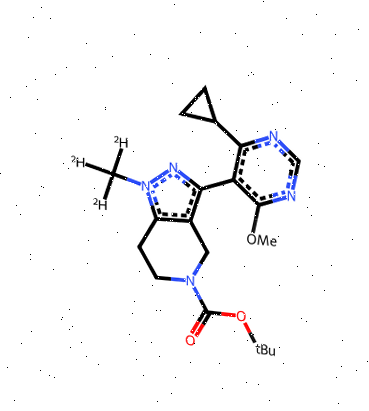 [2H]C([2H])([2H])n1nc(-c2c(OC)ncnc2C2CC2)c2c1CCN(C(=O)OC(C)(C)C)C2